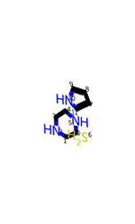 C1CNCCN1.S.c1cc[nH]c1